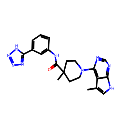 Cc1c[nH]c2ncnc(N3CCC(C)(C(=O)Nc4cccc(-c5nnn[nH]5)c4)CC3)c12